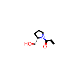 C=CC(=O)N1CCC[C@H]1CO